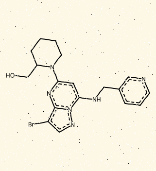 OCC1CCCCN1c1cc(NCc2cccnc2)n2ncc(Br)c2n1